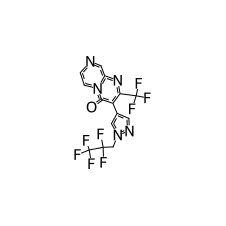 O=c1c(-c2cnn(CC(F)(F)C(F)(F)F)c2)c(C(F)(F)F)nc2cnccn12